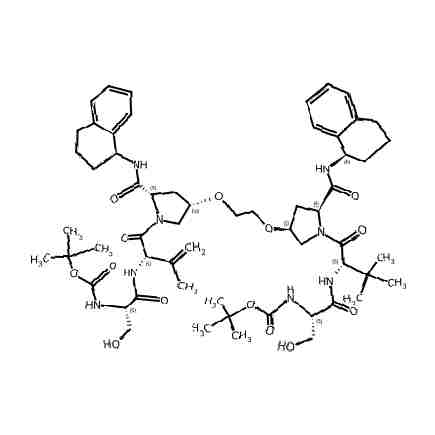 C=C(C)[C@H](NC(=O)[C@H](CO)NC(=O)OC(C)(C)C)C(=O)N1C[C@@H](OCCO[C@H]2C[C@@H](C(=O)N[C@@H]3CCCc4ccccc43)N(C(=O)[C@@H](NC(=O)[C@H](CO)NC(=O)OC(C)(C)C)C(C)(C)C)C2)C[C@H]1C(=O)NC1CCCc2ccccc21